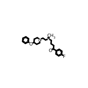 CN(CCCC(=O)c1ccc(F)cc1)CCN1CCC(Oc2ccccc2)CC1